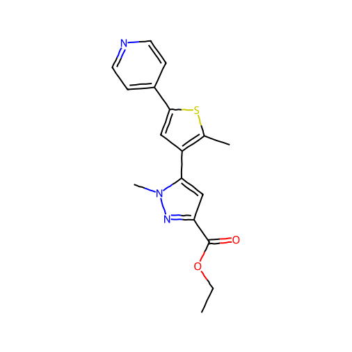 CCOC(=O)c1cc(-c2cc(-c3ccncc3)sc2C)n(C)n1